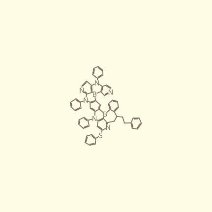 c1ccc(CCC2Cc3nc(Sc4ccccc4)cc4c3B(c3ccccc32)c2cc3c(cc2N4c2ccccc2)N(c2ccccc2)c2nccc4c2B3c2cnccc2N4c2ccccc2)cc1